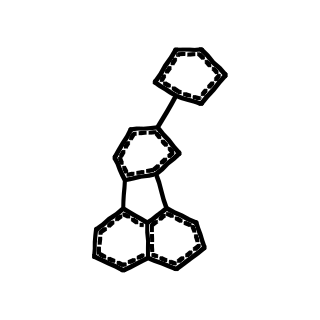 c1ccc(-c2ccc3c(c2)-c2cccc4cccc-3c24)cc1